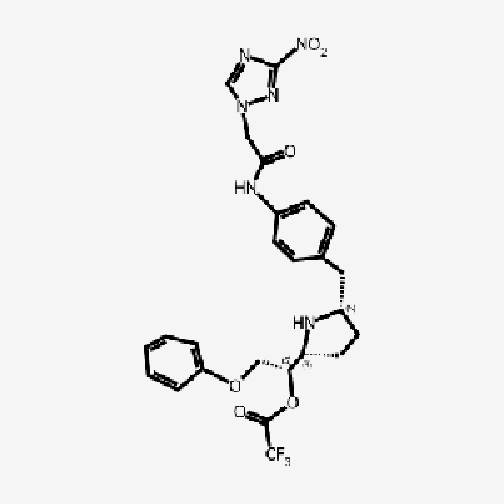 O=C(Cn1cnc([N+](=O)[O-])n1)Nc1ccc(C[C@@H]2CC[C@H]([C@@H](COc3ccccc3)OC(=O)C(F)(F)F)N2)cc1